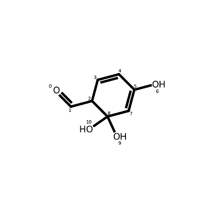 O=CC1C=CC(O)=CC1(O)O